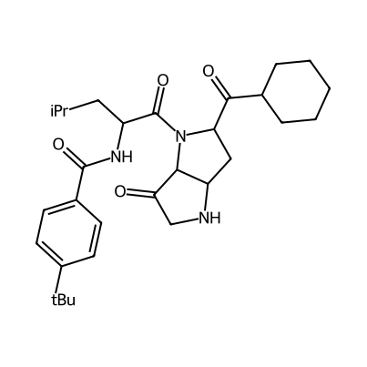 CC(C)CC(NC(=O)c1ccc(C(C)(C)C)cc1)C(=O)N1C(C(=O)C2CCCCC2)CC2NCC(=O)C21